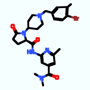 Cc1cc(C(=O)N(C)C)cc(NC(=O)[C@H]2CCC(=O)N2C2CCN(Cc3ccc(Br)c(C)c3)CC2)n1